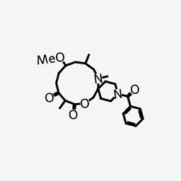 COC1CCC(=O)C(C)C(=O)OCC2(CCN(C(=O)c3ccccc3)CC2)N(C)CC(C)C1